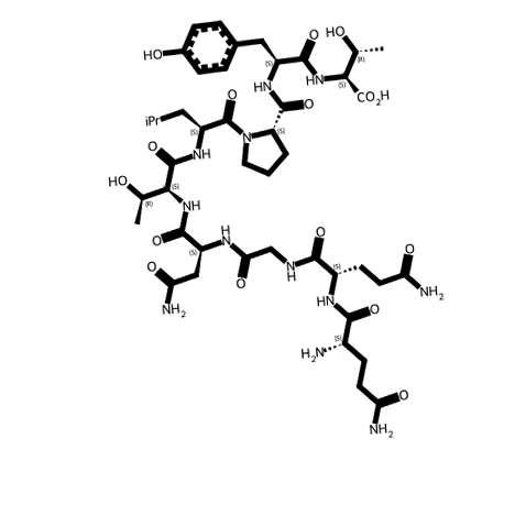 CC(C)C[C@H](NC(=O)[C@@H](NC(=O)[C@H](CC(N)=O)NC(=O)CNC(=O)[C@H](CCC(N)=O)NC(=O)[C@@H](N)CCC(N)=O)[C@@H](C)O)C(=O)N1CCC[C@H]1C(=O)N[C@@H](Cc1ccc(O)cc1)C(=O)N[C@H](C(=O)O)[C@@H](C)O